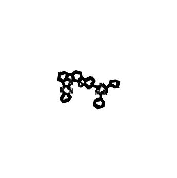 c1ccc(-c2nc(-c3ccccc3)nc(-c3ccc4c(c3)oc3c4ccc4c5cccc6c7nc8ccccc8nc7n(c56)c43)n2)cc1